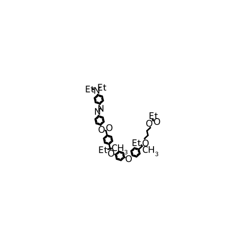 CCC(=O)OCCCCOC(C)(CC)c1ccc(Oc2ccc(OC(C)(CC)c3ccc(C(=O)Oc4ccc(N=Nc5ccc(N(CC)CC)cc5)cc4)cc3)cc2)cc1